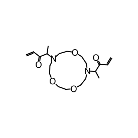 C=CC(=O)C(C)N1CCOCCOCCN(C(C)C(=O)C=C)CCOCC1